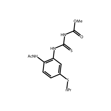 CCCSc1ccc(NC(C)=O)c(NC(=S)NC(=O)OC)c1